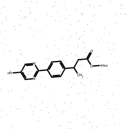 CCCCCCOC(=O)CC(C)c1ccc(-c2ncc(CCC)cn2)cc1